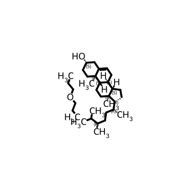 CC(C)[C@H](C)CC[C@@H](C)[C@H]1CC[C@H]2[C@@H]3CC=C4C[C@@H](O)CC[C@]4(C)[C@H]3CC[C@]12C.CCCOCCC